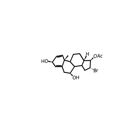 CC(=O)O[C@H]1[C@H](Br)CC2C3C(CC[C@@H]21)[C@@]1(C)C=C[C@H](O)C=C1C[C@@H]3O